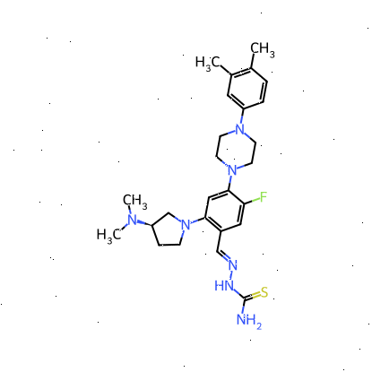 Cc1ccc(N2CCN(c3cc(N4CC[C@@H](N(C)C)C4)c(C=NNC(N)=S)cc3F)CC2)cc1C